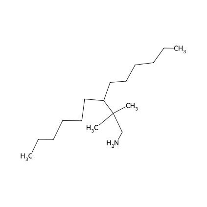 CCCCCCC(CCCCCC)C(C)(C)CN